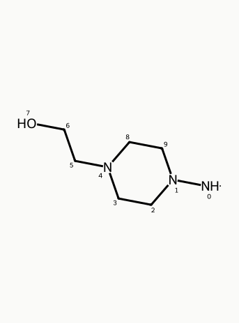 [NH]N1CCN(CCO)CC1